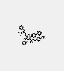 CN(CCN(C)C(=O)[C@H](Cc1ccccc1)N(Cc1ccc(-c2ccccn2)cc1)C(=O)C=Cc1ccc(C(F)(F)F)cc1)Cc1ccccc1